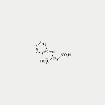 O=C(O)/C=C(\Nc1ccccc1)C(=O)O